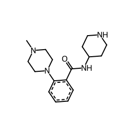 CN1CCN(c2ccccc2C(=O)NC2CCNCC2)CC1